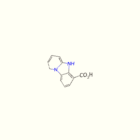 O=C(O)c1cccc2c1NC1=CC=CCN12